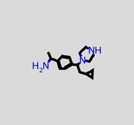 CC(N)c1ccc(C(CC2CC2)N2CCNCC2)cc1